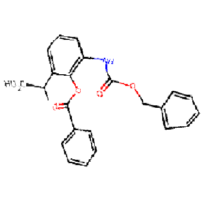 C[C@@H](C(=O)O)c1cccc(NC(=O)OCc2ccccc2)c1OC(=O)c1ccccc1